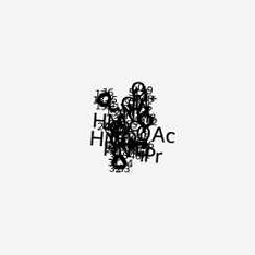 CC(=O)Oc1ccc(C[N+]2(CC(=O)N[C@@H](CCc3ccccc3)C(=O)N[C@@H](C)C(=O)N[C@@H](Cc3ccccc3)C(=O)N[C@@H](CC(C)C)C(=O)[C@@]3(C)CO3)CCOCC2)cc1C(C)=O